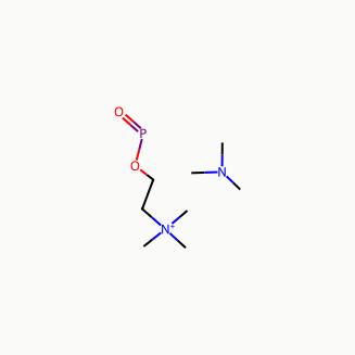 CN(C)C.C[N+](C)(C)CCOP=O